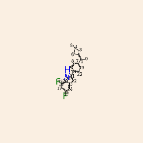 CC(=C1CC(C)C1)c1ccc(-c2cc3cc(F)cc(F)c3[nH]2)cc1